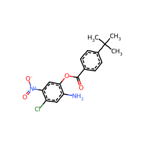 CC(C)(C)c1ccc(C(=O)Oc2cc([N+](=O)[O-])c(Cl)cc2N)cc1